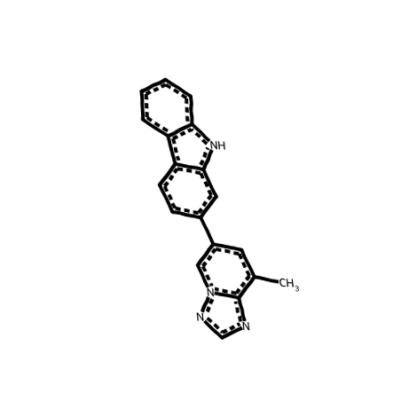 Cc1cc(-c2ccc3c(c2)[nH]c2ccccc23)cn2ncnc12